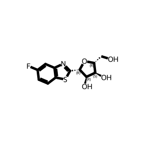 OC[C@H]1O[C@@H](c2nc3cc(F)ccc3s2)[C@H](O)[C@@H]1O